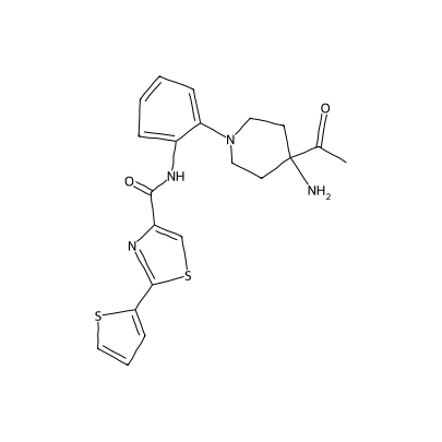 CC(=O)C1(N)CCN(c2ccccc2NC(=O)c2csc(-c3cccs3)n2)CC1